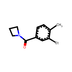 CCc1cc(C(=O)N2CCC2)ccc1C